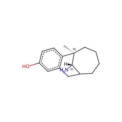 C[C@@]12CCCCC(Cc3cc(O)ccc31)[C@@H]2N